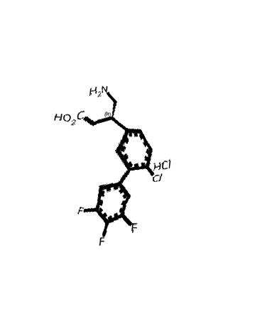 Cl.NC[C@H](CC(=O)O)c1ccc(Cl)c(-c2cc(F)c(F)c(F)c2)c1